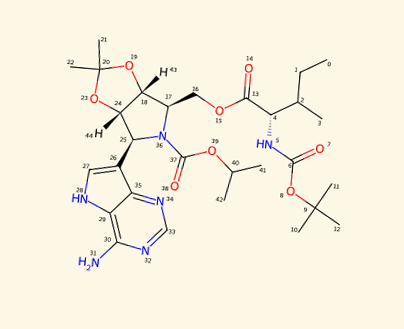 CCC(C)[C@H](NC(=O)OC(C)(C)C)C(=O)OC[C@@H]1[C@H]2OC(C)(C)O[C@H]2[C@H](c2c[nH]c3c(N)ncnc23)N1C(=O)OC(C)C